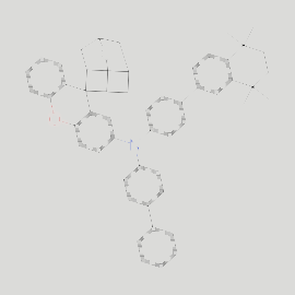 CC1(C)CCC(C)(C)c2cc(-c3ccc(N(c4ccc(-c5ccccc5)cc4)c4ccc5c(c4)C4(c6ccccc6O5)C5CC6CC7CC4C75C6)cc3)ccc21